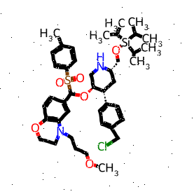 COCCCN1CCOc2ccc(C(O[C@H]3CN[C@H](CO[Si](C(C)C)(C(C)C)C(C)C)C[C@@H]3c3ccc(CCl)cc3)S(=O)(=O)c3ccc(C)cc3)cc21